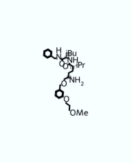 CC[C@H](C)[C@H](NC(=O)[C@@H](CC[C@@H](N)COCc1cccc(OCCCOC)c1)C(C)C)C(=O)NCc1ccccc1